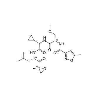 COC[C@H](NC(=O)c1cc(C)on1)C(=O)NC(C(=O)N[C@@H](CC(C)C)C(=O)[C@@]1(C)CO1)C1CC1